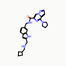 O=C(NCc1ccc2cc(CNCC3CCC3)[nH]c2c1)c1cn2nccc2c(N2CCCC2)n1